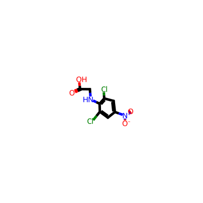 O=C(O)CNc1c(Cl)cc([N+](=O)[O-])cc1Cl